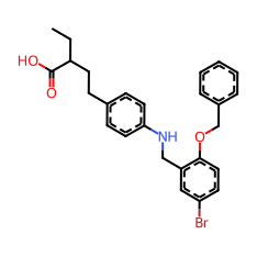 CCC(CCc1ccc(NCc2cc(Br)ccc2OCc2ccccc2)cc1)C(=O)O